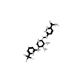 NC(=O)c1ccc(OC[C@H]2OC[C@H](Nc3cccc(C(F)(F)F)n3)[C@@H](O)[C@H]2O)nn1